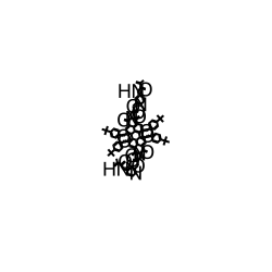 C=C(C)C(=O)Nc1ccnc(OC(=O)CN2C(=O)c3cc(Oc4ccc(C(C)(C)C)cc4)c4c5c(Oc6ccc(C(C)(C)C)cc6)cc6c7c(cc(Oc8ccc(C(C)(C)C)cc8)c(c8c(Oc9ccc(C(C)(C)C)cc9)cc(c3c48)C2=O)c75)C(=O)N(CC(=O)Oc2cc(NC(=O)C(=C)C)ccn2)C6=O)c1